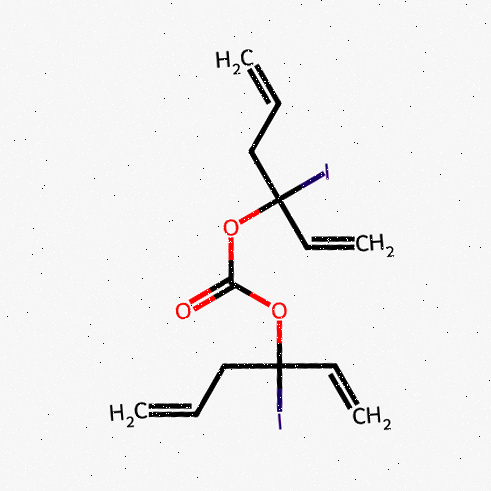 C=CCC(I)(C=C)OC(=O)OC(I)(C=C)CC=C